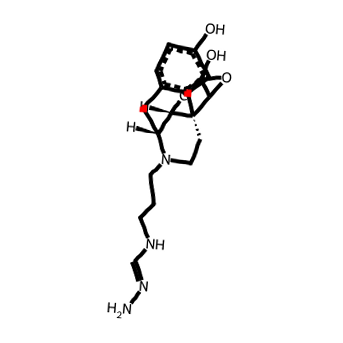 NN=CNCCCN1CC[C@@]23c4cc(O)ccc4C[C@@H]1[C@@H]2CCC1(O)OC13